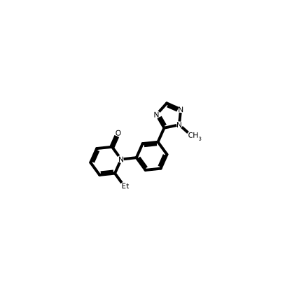 CCc1cccc(=O)n1-c1cccc(-c2ncnn2C)c1